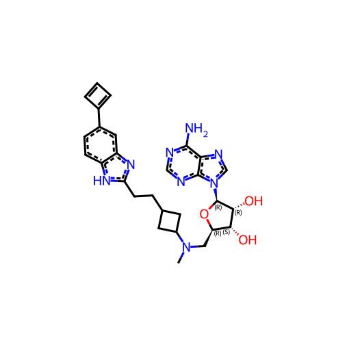 CN(C[C@H]1O[C@@H](n2cnc3c(N)ncnc32)[C@H](O)[C@@H]1O)C1CC(CCc2nc3cc(C4=CC=C4)ccc3[nH]2)C1